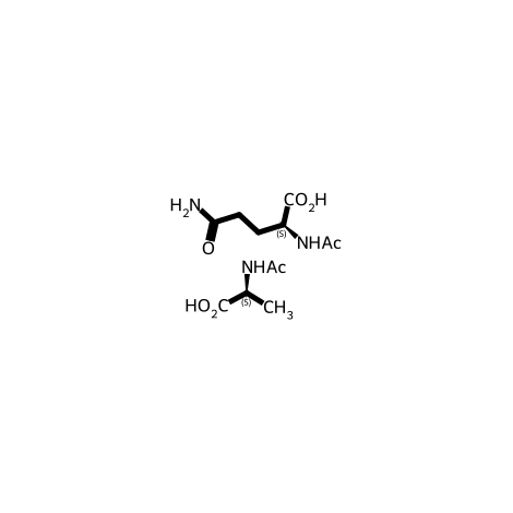 CC(=O)N[C@@H](C)C(=O)O.CC(=O)N[C@@H](CCC(N)=O)C(=O)O